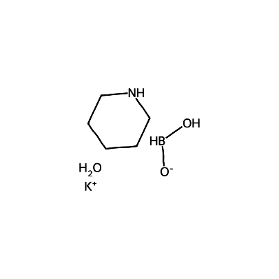 C1CCNCC1.O.[K+].[O-]BO